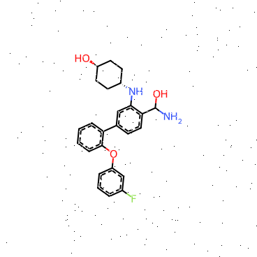 NC(O)c1ccc(-c2ccccc2Oc2cccc(F)c2)cc1N[C@H]1CC[C@H](O)CC1